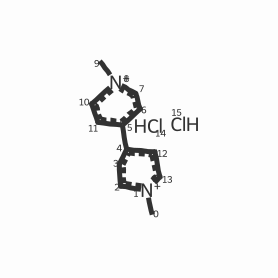 C[n+]1ccc(-c2cc[n+](C)cc2)cc1.Cl.Cl